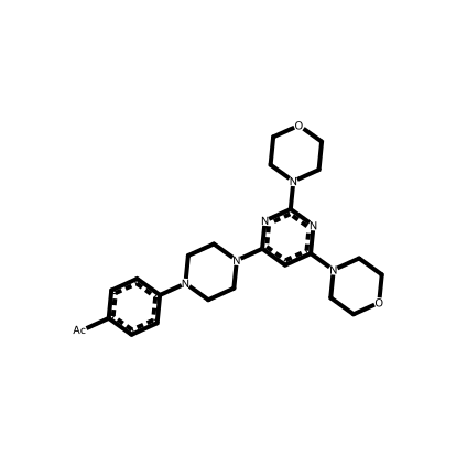 CC(=O)c1ccc(N2CCN(c3cc(N4CCOCC4)nc(N4CCOCC4)n3)CC2)cc1